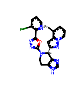 CC(C)c1cccn2nc([C@@H]3c4nc[nH]c4CCN3c3nnc(-c4ncccc4F)o3)cc12